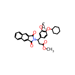 COC(=O)CC(c1ccc(OC2CCCCC2)c(OC)c1)N1C(=O)c2cc3ccccc3cc2C1=O